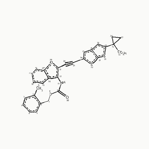 Cc1ccccc1COC(=O)Nc1c(C#Cc2cc3cc(C4(C(=O)O)CC4)sc3s2)oc2cnccc12